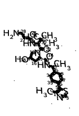 Cc1ncsc1-c1ccc([C@H](C)NC(=O)[C@@H]2C[C@@H](O)CN2C(=O)C(NC(=O)CCN)C(C)(C)C)cc1